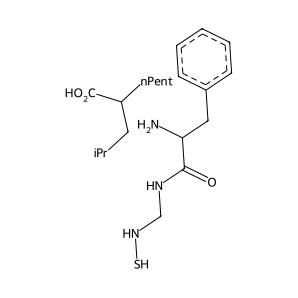 CCCCCC(CC(C)C)C(=O)O.NC(Cc1ccccc1)C(=O)NCNS